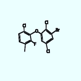 Cc1ccc(Cl)c(Oc2cc(Cl)cc(Br)c2Cl)c1F